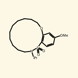 COc1ccc2c(c1)OCCCCCCCCCCN(C(C)C)S2(=O)=O